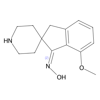 COc1cccc2c1/C(=N\O)C1(CCNCC1)C2